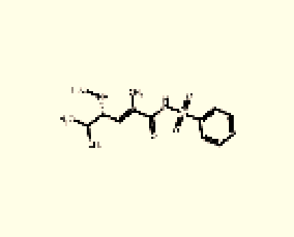 CN[C@H](/C=C(\C)C(=O)NS(=O)(=O)c1ccccc1)C(C)C